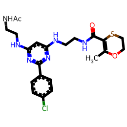 CC(=O)NCCNc1cc(NCCNC(=O)C2=C(C)OCCS2)nc(-c2ccc(Cl)cc2)n1